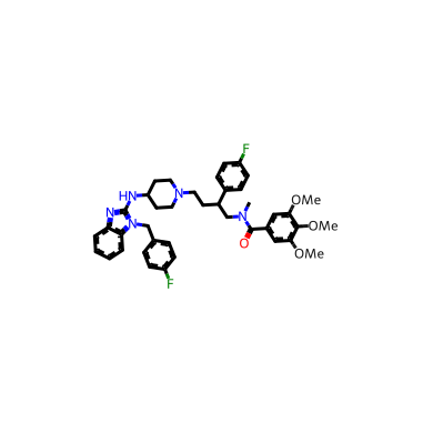 COc1cc(C(=O)N(C)CC(CCN2CCC(Nc3nc4ccccc4n3Cc3ccc(F)cc3)CC2)c2ccc(F)cc2)cc(OC)c1OC